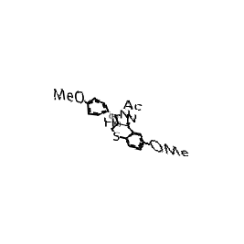 COc1ccc([C@H]2[C@H]3CSc4ccc(OC)cc4C3=NN2C(C)=O)cc1